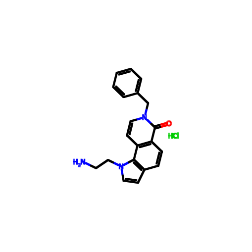 Cl.NCCn1ccc2ccc3c(=O)n(Cc4ccccc4)ccc3c21